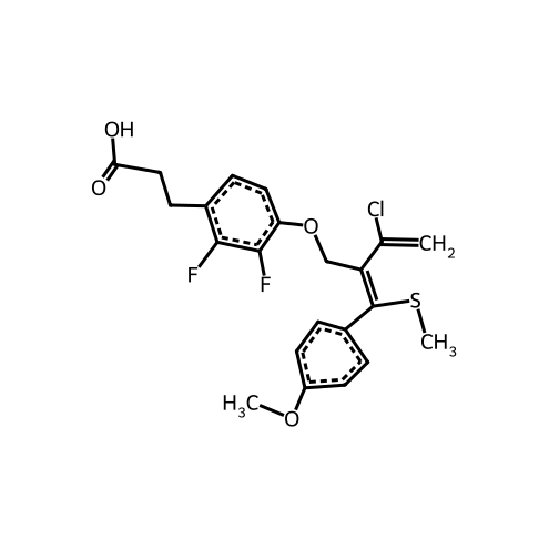 C=C(Cl)/C(COc1ccc(CCC(=O)O)c(F)c1F)=C(\SC)c1ccc(OC)cc1